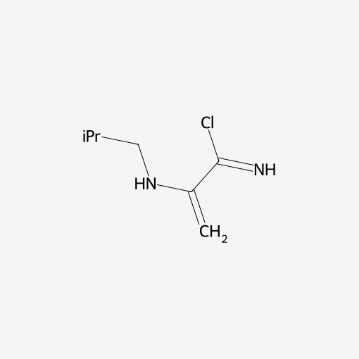 C=C(NCC(C)C)C(=N)Cl